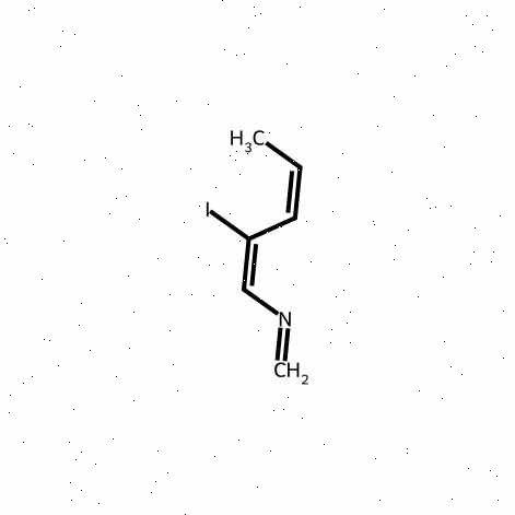 C=N/C=C(I)\C=C/C